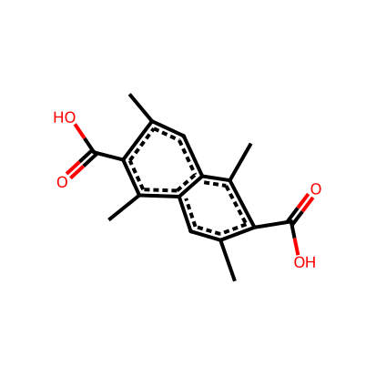 Cc1cc2c(C)c(C(=O)O)c(C)cc2c(C)c1C(=O)O